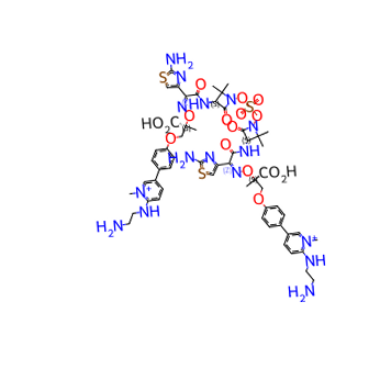 C[n+]1cc(-c2ccc(OC[C@](C)(O/N=C(\C(=O)N[C@@H]3C(=O)N(OS(=O)(=O)ON4C(=O)[C@@H](NC(=O)/C(=N\O[C@@](C)(COc5ccc(-c6ccc(NCCN)[n+](C)c6)cc5)C(=O)O)c5csc(N)n5)C4(C)C)C3(C)C)c3csc(N)n3)C(=O)O)cc2)ccc1NCCN